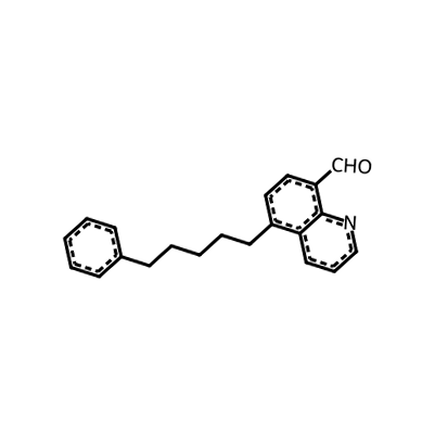 O=Cc1ccc(CCCCCc2ccccc2)c2cccnc12